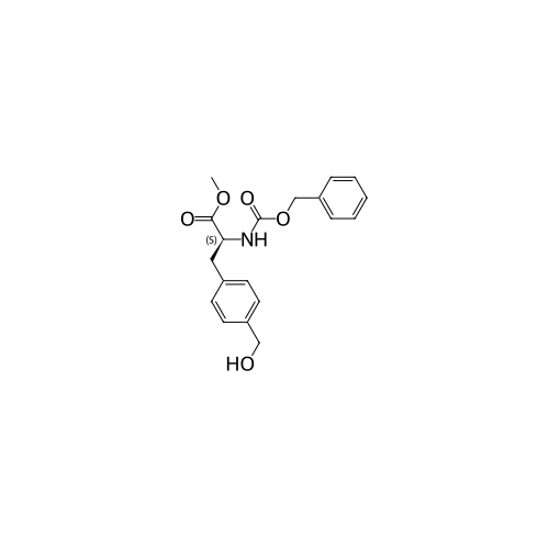 COC(=O)[C@H](Cc1ccc(CO)cc1)NC(=O)OCc1ccccc1